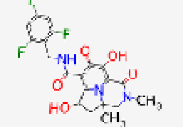 CN1CC2(C)CC(O)c3c(C(=O)NCc4c(F)cc(F)cc4F)c(=O)c(O)c(n32)C1=O